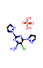 Nc1nc(-n2cccn2)nc(-n2cccn2)c1Br.O=S(=O)(O)O